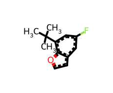 CC(C)(C)c1cc(F)cc2ccoc12